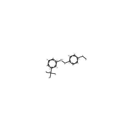 CCc1ccc(COc2cccc(C(C)(C)C)c2)cc1